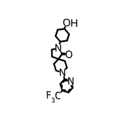 O=C1N(C2CCC(O)CC2)CCC12CCN(c1cc(C(F)(F)F)ccn1)CC2